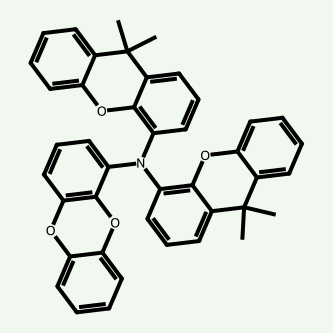 CC1(C)c2ccccc2Oc2c(N(c3cccc4c3Oc3ccccc3O4)c3cccc4c3Oc3ccccc3C4(C)C)cccc21